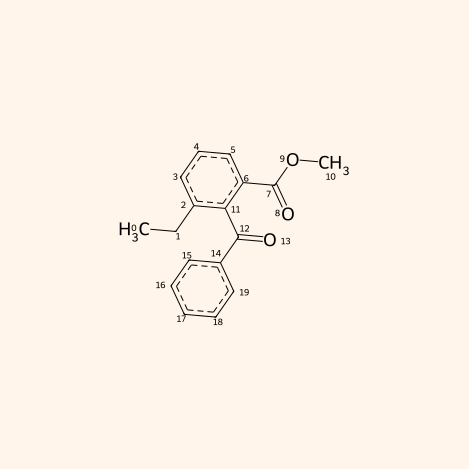 CCc1cccc(C(=O)OC)c1C(=O)c1ccccc1